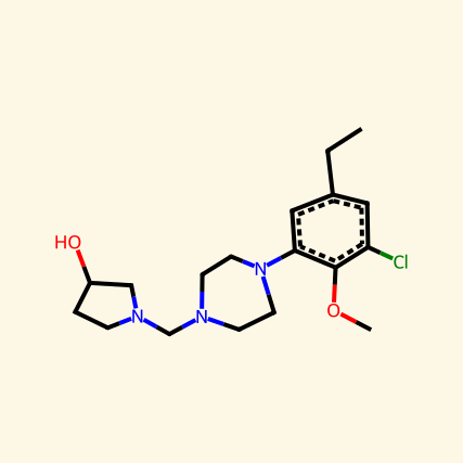 CCc1cc(Cl)c(OC)c(N2CCN(CN3CCC(O)C3)CC2)c1